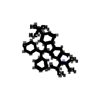 C/C(N)=C(\c1cc2c(cc1F)c1ncc(C(C)(C)O)cc1n2C(c1ccccc1)C1CCOCC1)N(C)N